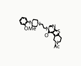 COc1ccccc1N1CCN(CCn2cnc3sc4c(c3c2=O)CN(C(C)=O)CC4)CC1